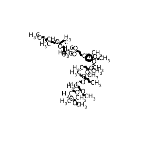 CCC(OC)OC.CCCC(OC)OC.CCCC(OCC)OCC.CCCOC(CC)OCCC.CCOC(CC)OCC.CCOC1(OCC)C=CC=CC1C.COC(C)OC.COCOC